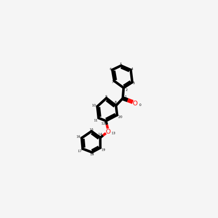 O=C(c1ccccc1)c1cccc(Oc2ccccc2)c1